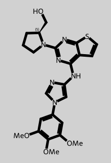 COc1cc(-n2cnc(Nc3nc(N4CCC[C@H]4CO)nc4sccc34)c2)cc(OC)c1OC